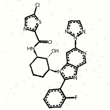 O=C(N[C@@H]1CCC[C@H](n2c(-c3ccccc3F)nc3cnc(-n4nccn4)cc32)[C@H]1O)c1ncc(Cl)s1